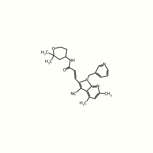 Cc1cc(C)c2c(C#N)c(/C=C/C(=O)NC3CCOC(C)(C)C3)n(Cc3cccnc3)c2n1